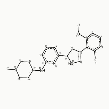 COc1cccc(F)c1C1=CNC(c2cccc(NC3CCN(C)CC3)n2)C1